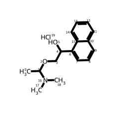 CC(OCC(O)c1cccc2ccccc12)N(C)C.Cl